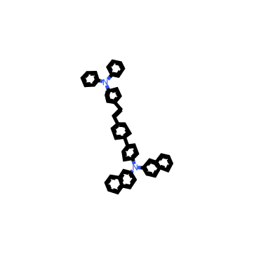 C(=C\c1ccc(N(c2ccccc2)c2ccccc2)cc1)/c1ccc(-c2ccc(N(c3ccc4ccccc4c3)c3ccc4ccccc4c3)cc2)cc1